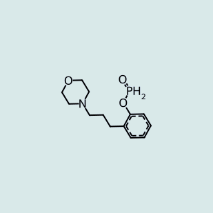 O=[PH2]Oc1ccccc1CCCN1CCOCC1